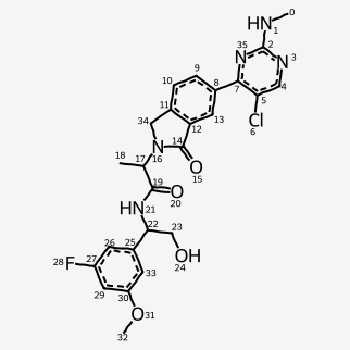 CNc1ncc(Cl)c(-c2ccc3c(c2)C(=O)N(C(C)C(=O)NC(CO)c2cc(F)cc(OC)c2)C3)n1